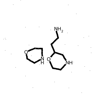 C1COCCN1.NCCC1CNCCO1